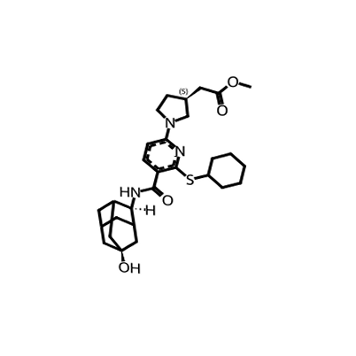 COC(=O)C[C@@H]1CCN(c2ccc(C(=O)N[C@H]3C4CC5CC3C[C@@](O)(C5)C4)c(SC3CCCCC3)n2)C1